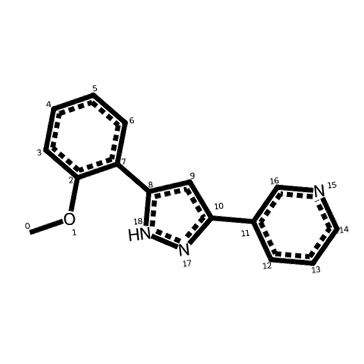 COc1ccccc1-c1cc(-c2cc[c]nc2)n[nH]1